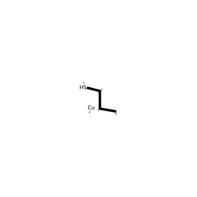 CCCS.[Cu]